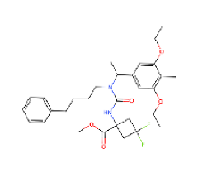 CCOc1cc(C(C)N(CCCCc2ccccc2)C(=O)NC2(C(=O)OC)CC(F)(F)C2)cc(OCC)c1C